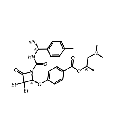 CCC[C@H](NC(=O)N1C(=O)C(CC)(CC)[C@@H]1Oc1ccc(C(=O)O[C@H](C)CN(C)C)cc1)c1ccc(C)cc1